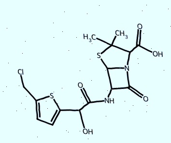 CC1(C)SC2C(NC(=O)C(O)c3ccc(CCl)s3)C(=O)N2C1C(=O)O